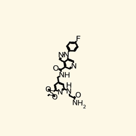 CS(=O)(=O)c1cc(CNC(=O)c2cncc3c2cnn3-c2ccc(F)cc2)cc(NCC(N)=O)n1